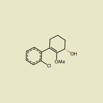 COC1=C(c2ccccc2Cl)CCC[C@@H]1O